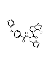 O=C(NC(Cc1cccs1)C(=O)N1CCC2OCC(=O)C21)c1ccc(Oc2ccccc2)cc1